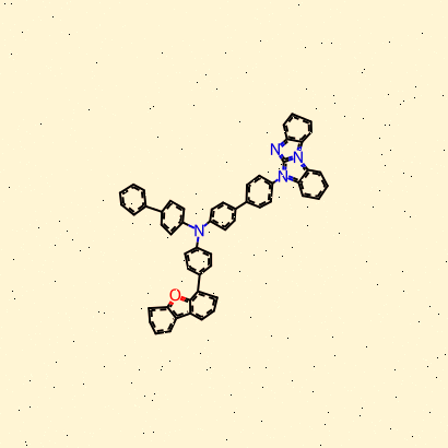 c1ccc(-c2ccc(N(c3ccc(-c4ccc(-n5c6ccccc6n6c7ccccc7nc56)cc4)cc3)c3ccc(-c4cccc5c4oc4ccccc45)cc3)cc2)cc1